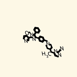 CC(c1ccnc(C#N)n1)C1CCN(Cc2ccc(-c3nc4n(c3-c3ccccc3)COc3ccncc3-4)cc2)CC1